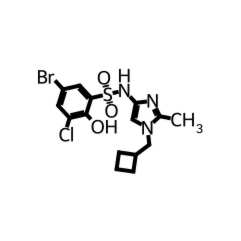 Cc1nc(NS(=O)(=O)c2cc(Br)cc(Cl)c2O)cn1CC1CCC1